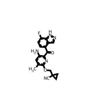 Cc1cc(N)c(C(=O)c2ccc(F)c3[nH]ncc23)nc1OCC1(C#N)CC1